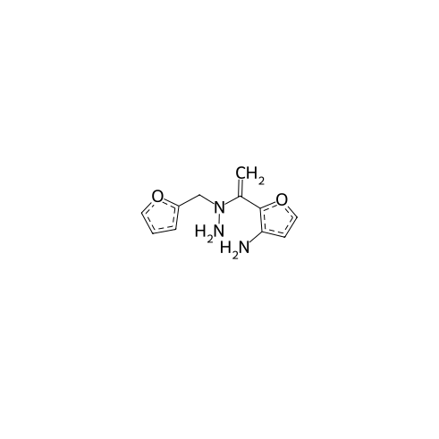 C=C(c1occc1N)N(N)Cc1ccco1